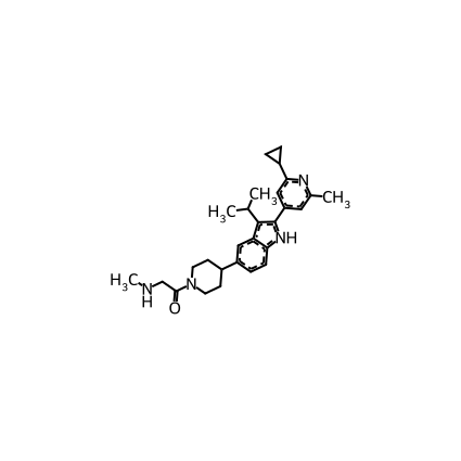 CNCC(=O)N1CCC(c2ccc3[nH]c(-c4cc(C)nc(C5CC5)c4)c(C(C)C)c3c2)CC1